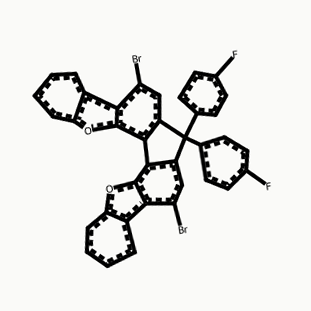 Fc1ccc(C2(c3ccc(F)cc3)c3cc(Br)c4c(oc5ccccc54)c3-c3c2cc(Br)c2c3oc3ccccc32)cc1